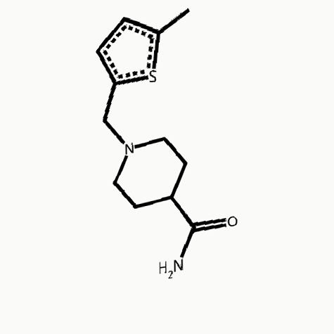 Cc1ccc(CN2CCC(C(N)=O)CC2)s1